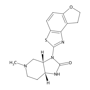 CN1CC[C@H]2NC(=O)N(c3nc4c5c(ccc4s3)OCC5)[C@H]2C1